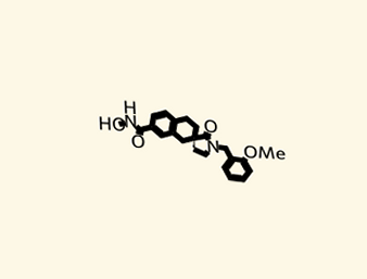 COc1ccccc1CN1CC[C@]2(CCc3ccc(C(=O)NO)cc3C2)C1=O